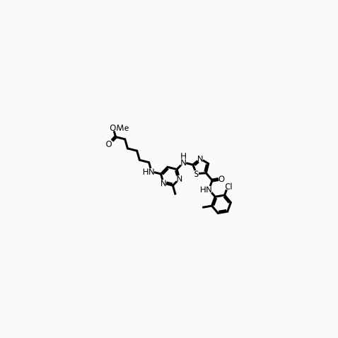 COC(=O)CCCCCNc1cc(Nc2ncc(C(=O)Nc3c(C)cccc3Cl)s2)nc(C)n1